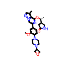 COc1cc(-c2cn3ncc(C)c3c(O[C@H](C)C3CNC(=O)C3)n2)ccc1N1CCN(C2COC2)CC1